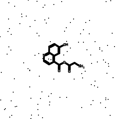 NCC(=O)OC(=O)c1ccnc2ccc(O)cc12